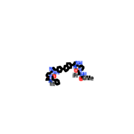 CCN(C1CC1)[C@@H](C(=O)N1CCC[C@H]1c1ncc(-c2ccc(-c3ccc4cc(-c5c[nH]c([C@@H]6CCCN6C(=O)[C@@H](NC(=O)OC)C(C)C)n5)ccc4c3)cc2)[nH]1)c1ccccc1